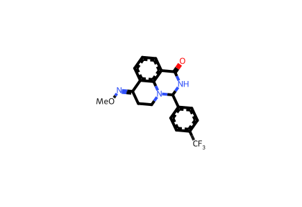 CON=C1CCN2c3c(cccc31)C(=O)NC2c1ccc(C(F)(F)F)cc1